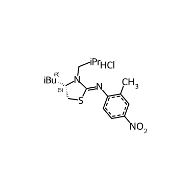 CC[C@@H](C)[C@H]1CSC(=Nc2ccc([N+](=O)[O-])cc2C)N1CC(C)C.Cl